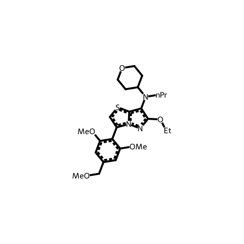 CCCN(c1c(OCC)nn2c(-c3c(OC)cc(COC)cc3OC)csc12)C1CCOCC1